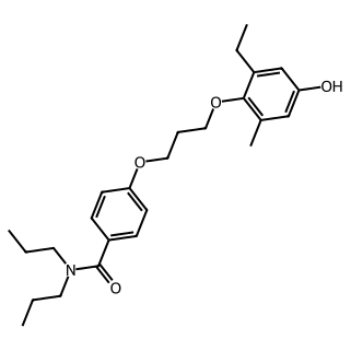 CCCN(CCC)C(=O)c1ccc(OCCCOc2c(C)cc(O)cc2CC)cc1